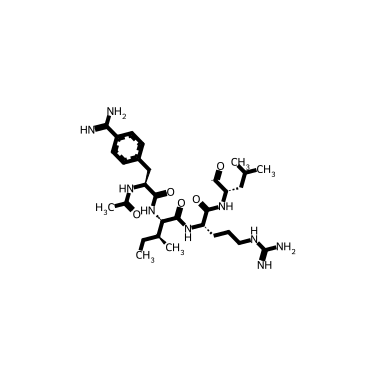 CC[C@H](C)[C@H](NC(=O)[C@H](Cc1ccc(C(=N)N)cc1)NC(C)=O)C(=O)N[C@@H](CCCNC(=N)N)C(=O)N[C@H]([C]=O)CC(C)C